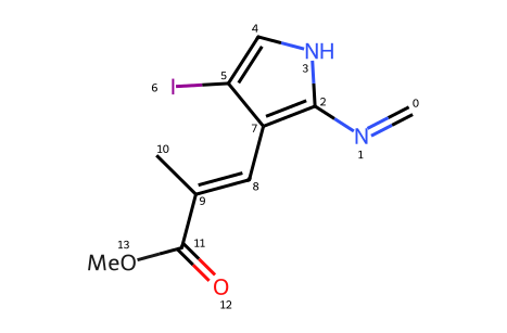 C=Nc1[nH]cc(I)c1/C=C(\C)C(=O)OC